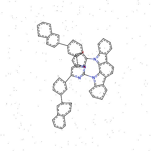 c1ccc(-n2c3ccccc3c3ccc4c5ccccc5n(-c5nc(-c6cccc(-c7ccc8ccccc8c7)c6)cc(-c6cccc(-c7ccc8ccccc8c7)c6)n5)c4c32)cc1